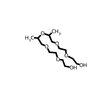 CC(COCCOCCO)OC(C)COCCOCCO